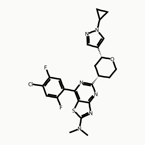 CN(C)c1nc2nc([C@H]3CCO[C@@H](c4cnn(C5CC5)c4)C3)nc(-c3cc(F)c(Cl)cc3F)c2s1